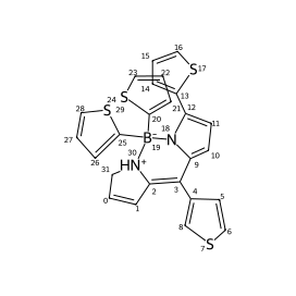 C1=CC2=C(c3ccsc3)c3ccc(-c4cccs4)n3[B-](c3cccs3)(c3cccs3)[NH+]2C1